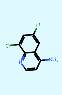 Nc1ccnc2c(Cl)cc(Cl)cc12